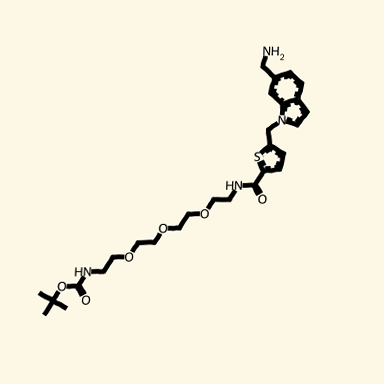 CC(C)(C)OC(=O)NCCOCCOCCOCCNC(=O)c1ccc(Cn2ccc3ccc(CN)cc32)s1